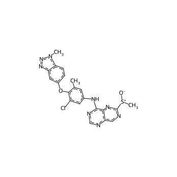 Cc1cc(Nc2ncnc3cnc([S+](C)[O-])nc23)cc(Cl)c1Oc1ccc2c(c1)nnn2C